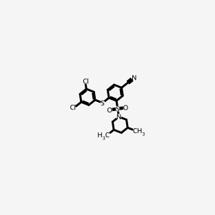 CC1CC(C)CN(S(=O)(=O)c2cc(C#N)ccc2Sc2cc(Cl)cc(Cl)c2)C1